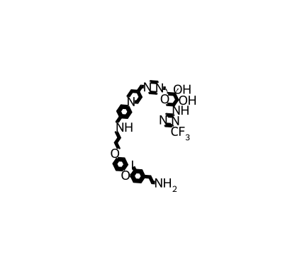 NCCc1ccc(Oc2ccc(OCCCCNCc3ccc(N4CCC(CN5CCN(C[C@H]6OC[C@H](Nc7cncc(C(F)(F)F)n7)[C@@H](O)[C@H]6O)CC5)CC4)cc3)cc2)c(I)c1